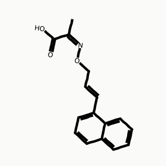 C/C(=N/OC/C=C/c1cccc2ccccc12)C(=O)O